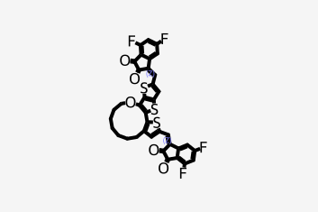 O=C1C(=O)c2c(F)cc(F)cc2/C1=C/c1cc2c(s1)-c1sc3cc(/C=C4\C(=O)C(=O)c5c(F)cc(F)cc54)sc3c1OCCCCCCC2